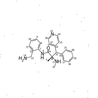 CN[C@](C)(C(=O)Nc1ccccc1CN)C(c1ccccc1)c1ccncc1